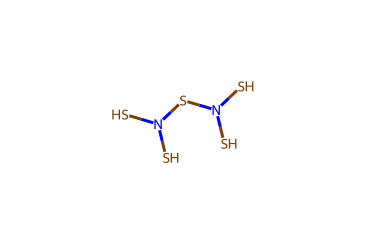 SN(S)SN(S)S